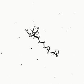 CO[Si](C=CCCCOCC1CO1)(OC)OC